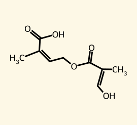 CC(=CCOC(=O)C(C)=CO)C(=O)O